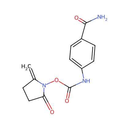 C=C1CCC(=O)N1OC(=O)Nc1ccc(C(N)=O)cc1